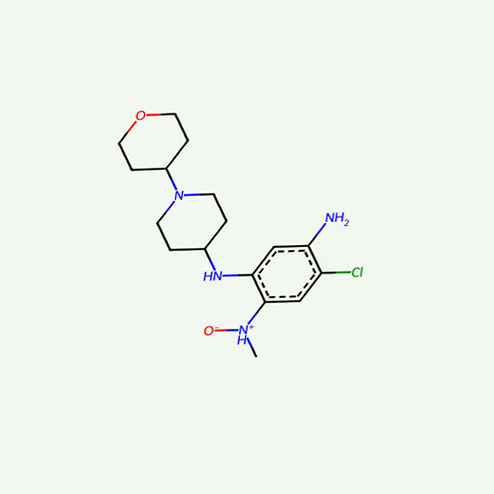 C[NH+]([O-])c1cc(Cl)c(N)cc1NC1CCN(C2CCOCC2)CC1